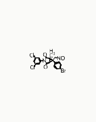 C[C@]12C(=O)N(c3cc(Cl)cc(Cl)c3)C(=O)C1[C@@]2(CN=O)c1ccc(Br)cc1